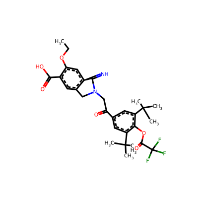 CCOc1cc2c(cc1C(=O)O)CN(CC(=O)c1cc(C(C)(C)C)c(OC(=O)C(F)(F)F)c(C(C)(C)C)c1)C2=N